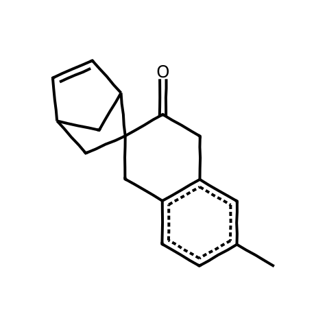 Cc1ccc2c(c1)CC(=O)C1(C2)CC2C=CC1C2